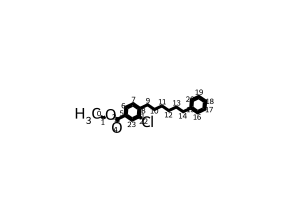 CCOC(=O)c1ccc(CCCCCCc2ccccc2)c(Cl)c1